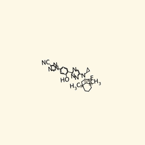 C[C@@]12CCC[C@@](C)(C1)[C@@H](F)[C@@H](N(c1cnc(-c3ccc(-n4cnc(C#N)n4)cc3O)nn1)C1CC1)C2